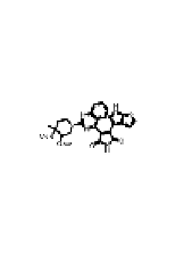 CNC1(C)CCN(c2nc(C3=C(c4c[nH]c5sccc45)C(=O)NC3=O)c3ccccc3n2)CC1OC